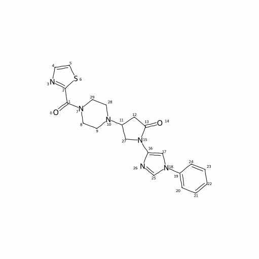 O=C(c1nccs1)N1CCN(C2CC(=O)N(c3cn(-c4ccccc4)cn3)C2)CC1